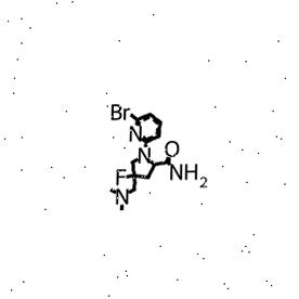 CN(C)CC1(F)CC(C(N)=O)N(c2cccc(Br)n2)C1